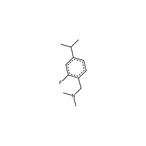 CC(C)c1ccc(CN(C)C)c(F)c1